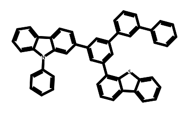 c1ccc(-c2cccc(-c3cc(-c4ccc5c6ccccc6n(-c6ccccc6)c5c4)cc(-c4cccc5c4sc4ccccc45)c3)c2)cc1